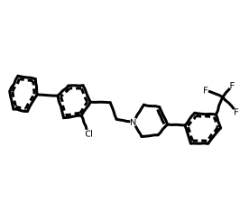 FC(F)(F)c1cccc(C2=CCN(CCc3ccc(-c4ccccc4)cc3Cl)CC2)c1